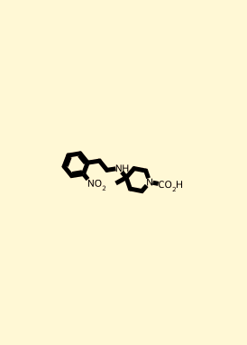 CC1(NCCc2ccccc2[N+](=O)[O-])CCN(C(=O)O)CC1